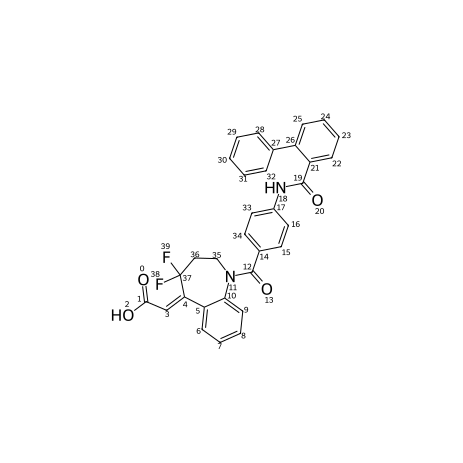 O=C(O)C=C1c2ccccc2N(C(=O)c2ccc(NC(=O)c3ccccc3-c3ccccc3)cc2)CCC1(F)F